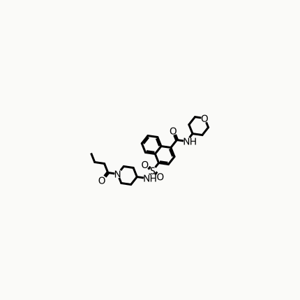 CCCC(=O)N1CCC(NS(=O)(=O)c2ccc(C(=O)NC3CCOCC3)c3ccccc23)CC1